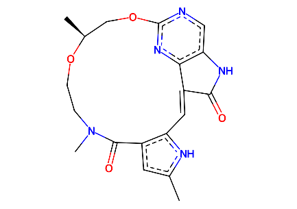 Cc1cc2c([nH]1)/C=C1\C(=O)Nc3cnc(nc31)OC[C@H](C)OCCN(C)C2=O